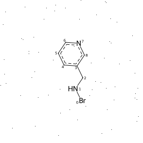 BrNCc1cccnc1